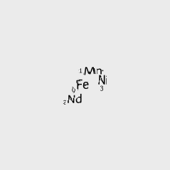 [Fe].[Mn].[Nd].[Ni]